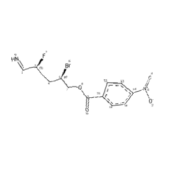 N=C[C@@H](F)C[C@@H](Br)COC(=O)c1ccc([N+](=O)[O-])cc1